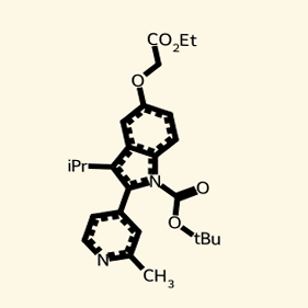 CCOC(=O)COc1ccc2c(c1)c(C(C)C)c(-c1ccnc(C)c1)n2C(=O)OC(C)(C)C